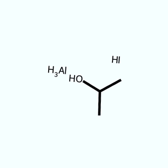 CC(C)O.I.[AlH3]